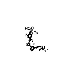 CC(=Cc1c(F)cc(C(=O)Nc2nc(-c3cccc(C#CCN(C)C)c3F)cs2)cc1F)C(=O)O